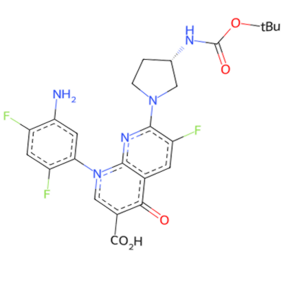 CC(C)(C)OC(=O)N[C@H]1CCN(c2nc3c(cc2F)c(=O)c(C(=O)O)cn3-c2cc(N)c(F)cc2F)C1